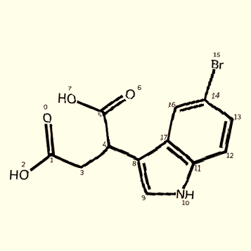 O=C(O)CC(C(=O)O)c1c[nH]c2ccc(Br)cc12